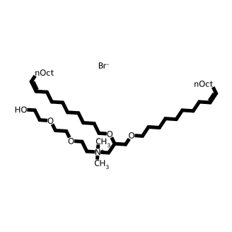 CCCCCCCC/C=C\CCCCCCCCOCC(C[N+](C)(C)CCOCCOCCO)OCCCCCCCC/C=C\CCCCCCCC.[Br-]